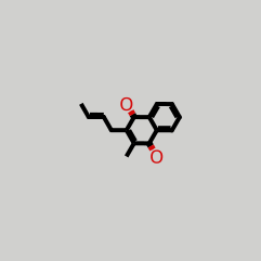 C/C=C/CC1=C(C)C(=O)c2ccccc2C1=O